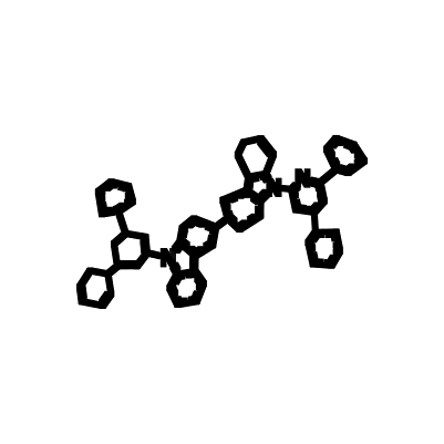 C1=CCC(C2=CC(n3c4ccccc4c4cc(-c5ccc6c(c5)c5c(n6-c6cc(-c7ccccc7)cc(-c7ccccc7)n6)C=CCC5)ccc43)=CC(c3ccccc3)C2)C=C1